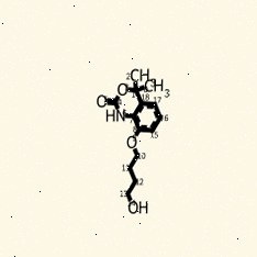 CC1(C)OC(=O)Nc2c(OCCCCO)cccc21